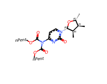 CCCCCOC(=O)N(C(=O)OCCCCC)c1ccn([C@@H]2O[C@H](C)[C@@H](C)[C@H]2C)c(=O)n1